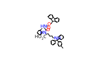 Cc1ccc(C(NCCCC[C@H](NC(=O)[C@H](Cc2ccccc2)NC(=O)OCC2c3ccccc3-c3ccccc32)C(=O)O)(c2ccccc2)c2ccccc2)cc1